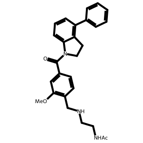 COc1cc(C(=O)N2CCc3c(-c4ccccc4)cccc32)ccc1CNCCNC(C)=O